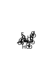 CCOC(=O)ON1CCN(C(=O)[C@H](CCC(=O)O)NC(=O)c2cc(OC3(C(=O)OCC)CCC3)n(-c3ccc(F)cc3F)n2)CC1